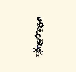 O=C1NC(=O)/C(=C/c2ccnc(N3CCC(CNCc4cccc(-c5cccs5)n4)CC3)n2)S1